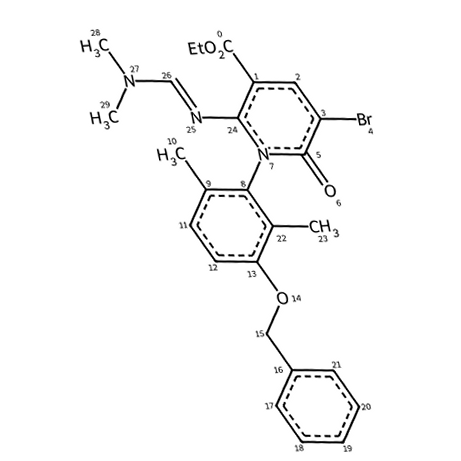 CCOC(=O)c1cc(Br)c(=O)n(-c2c(C)ccc(OCc3ccccc3)c2C)c1/N=C/N(C)C